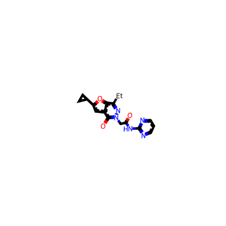 CCc1nn(CC(=O)Nc2ncccn2)c(=O)c2cc(C3CC3)oc12